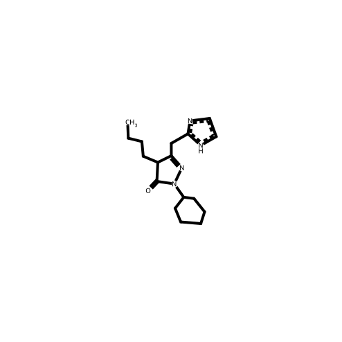 CCCCC1C(=O)N(C2CCCCC2)N=C1Cc1ncc[nH]1